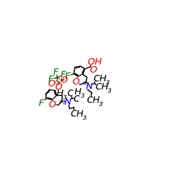 CCCN(C(C)C)[C@H]1COc2c(F)ccc(C(=O)O)c2C1.CCCN(C(C)C)[C@H]1COc2c(F)ccc(OS(=O)(=O)C(F)(F)F)c2C1